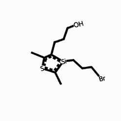 Cc1sc(C)[si](CCCBr)c1CCCO